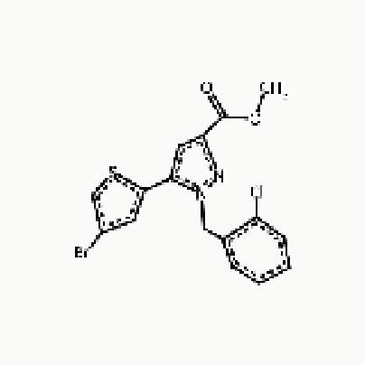 COC(=O)c1cc(-c2cc(Br)cs2)n(Cc2ccccc2Cl)n1